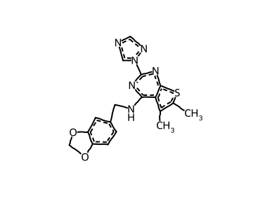 Cc1sc2nc(-n3cncn3)nc(NCc3ccc4c(c3)OCO4)c2c1C